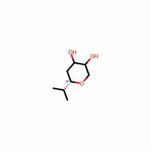 CC(C)[C@@H]1CC(O)C(O)CO1